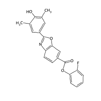 Cc1cc(-c2nc3ccc(C(=O)Oc4ccccc4F)cc3o2)cc(C)c1O